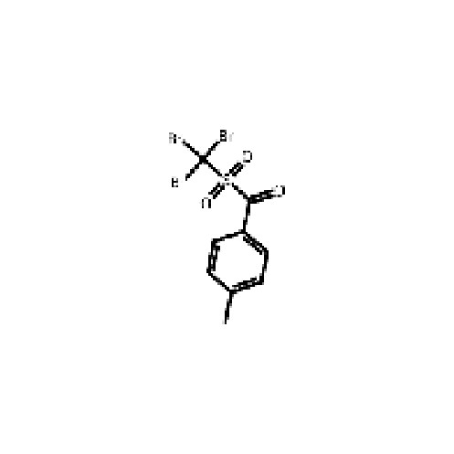 Cc1ccc(C(=O)S(=O)(=O)C(Br)(Br)Br)cc1